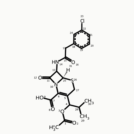 CC(=O)OC(C1=C(C(=O)O)N2C(=O)C(NC(=O)Cc3cccc(Cl)c3)[C@H]2SC1)C(C)C